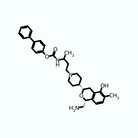 Cc1ccc2c(c1O)C[C@@H](C1CCN(CCC(C)NC(=O)Oc3ccc(-c4ccccc4)cc3)CC1)O[C@H]2CN